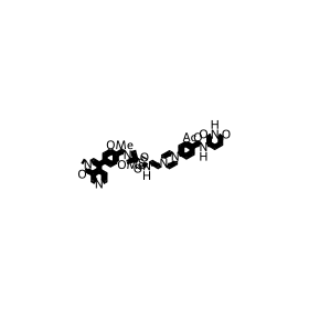 COc1cc(-c2cn(C)c(=O)c3cnccc23)cc(OC)c1CN1CC(S(=O)(=O)NCCN2CCN(c3ccc(C(=O)NC4CCC(=O)NC4=O)c(C(C)=O)c3)CC2)C1